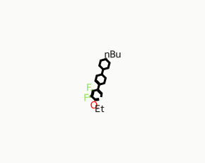 C=C(OCC)/C(F)=C(F)\C(=C/C)C1=CCC(C2CCC(CCCC)CC2)CC1